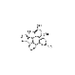 Cc1c(-n2c3ccccc3c3cccc(-c4cc(C(C)(C)C)cc(C(C)(C)C)c4)c32)cccc1C(C)(C)C